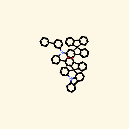 c1ccc(-c2cccc(N(c3ccc4c(c3)C3(c5ccccc5-c5ccccc53)c3ccccc3-4)c3ccccc3-c3ccc4c(c3)C3(c5ccccc5-4)c4ccccc4-n4c5ccccc5c5cccc3c54)c2)cc1